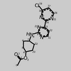 CC(=O)OC1CCC(Nc2nccc(-c3nccc(Cl)n3)n2)CC1